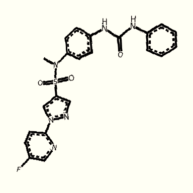 CN(c1ccc(NC(=O)Nc2ccccc2)cc1)S(=O)(=O)c1cnn(-c2ccc(F)cn2)c1